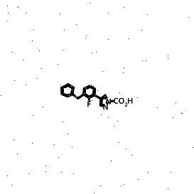 O=C(O)n1cc(-c2cccc(Cc3ccccc3)c2F)cn1